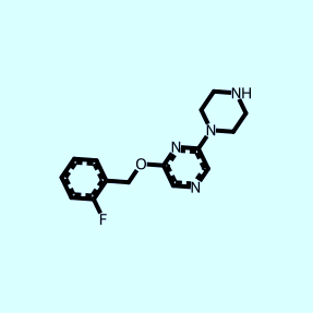 Fc1ccccc1COc1cncc(N2CCNCC2)n1